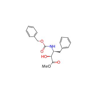 COC(=O)[C@@H](O)[C@H](Cc1ccccc1)NC(=O)OCc1ccccc1